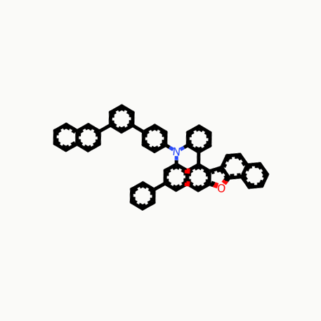 c1ccc(-c2cccc(N(c3ccc(-c4cccc(-c5ccc6ccccc6c5)c4)cc3)c3ccccc3-c3cccc4oc5c6ccccc6ccc5c34)c2)cc1